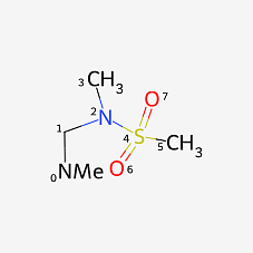 CNCN(C)S(C)(=O)=O